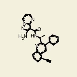 C#Cc1cccc2nc([C@H](C)NC(=O)c3c(N)nn4cccnc34)c(-c3ccccc3)cc12